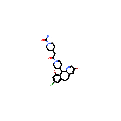 NC(=O)N1CCC(CC(=O)N2CCC(C3c4c(Br)cc(Cl)cc4CCC4C=C(Br)C=NC43)CC2)CC1